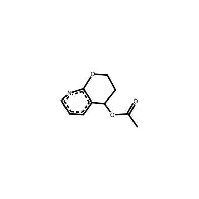 CC(=O)OC1CCOc2ncccc21